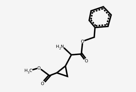 COC(=O)C1CC1C(N)C(=O)OCc1ccccc1